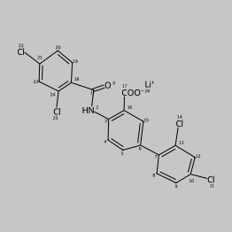 O=C(Nc1ccc(-c2ccc(Cl)cc2Cl)cc1C(=O)[O-])c1ccc(Cl)cc1Cl.[Li+]